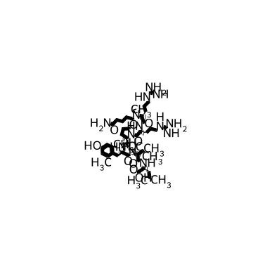 Cc1cc(O)cc(C)c1C[C@@H](NC(=O)[C@H]1CCCN1C(=O)[C@@H](CCCNC(=N)N)NC(=O)[C@@H](CCCNC(=N)N)N(C)C(=O)CCCC(N)=O)C(=O)N[C@@H](C(=O)N[C@H](CC(C)C)C(=O)O)C(C)(C)C